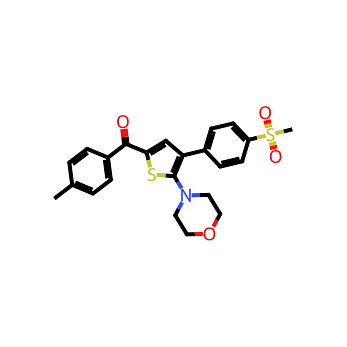 Cc1ccc(C(=O)c2cc(-c3ccc(S(C)(=O)=O)cc3)c(N3CCOCC3)s2)cc1